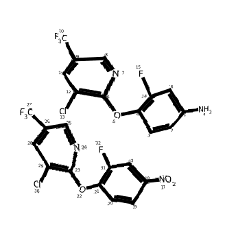 Nc1ccc(Oc2ncc(C(F)(F)F)cc2Cl)c(F)c1.O=[N+]([O-])c1ccc(Oc2ncc(C(F)(F)F)cc2Cl)c(F)c1